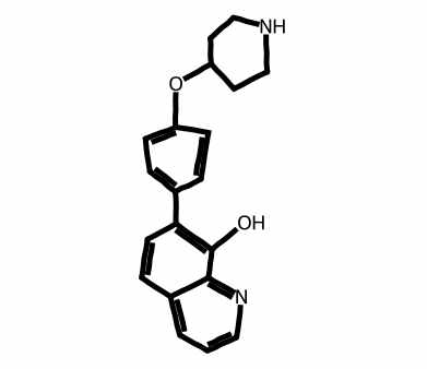 Oc1c(-c2ccc(OC3CCNCC3)cc2)ccc2cccnc12